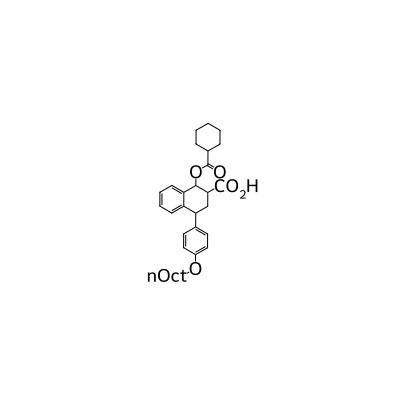 CCCCCCCCOc1ccc(C2CC(C(=O)O)C(OC(=O)C3CCCCC3)c3ccccc32)cc1